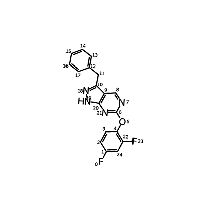 Fc1ccc(Oc2ncc3c(Cc4ccccc4)n[nH]c3n2)c(F)c1